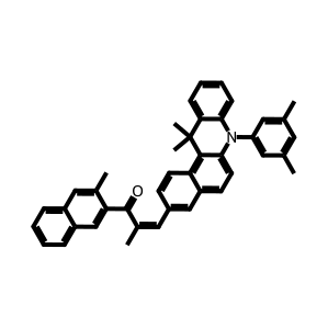 CC(=Cc1ccc2c3c(ccc2c1)N(c1cc(C)cc(C)c1)c1ccccc1C3(C)C)C(=O)c1cc2ccccc2cc1C